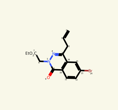 C=CCc1nn(CC(=O)OCC)c(=O)c2ccc(Br)cc12